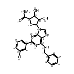 CNC(=O)C1OC(n2cnc3c(NCc4ccccc4)nc(-c4cncc(Cl)c4)nc32)C(O)C1O